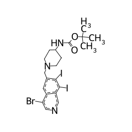 CC(C)(C)OC(=O)NC1CCN(Cc2cc3c(Br)cncc3c(I)c2I)CC1